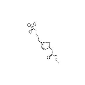 CCOC(=O)Cc1cc[n+](CCCCS(=O)(=O)[O-])cc1